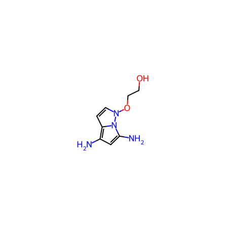 Nc1cc(N)n2c1ccn2OCCO